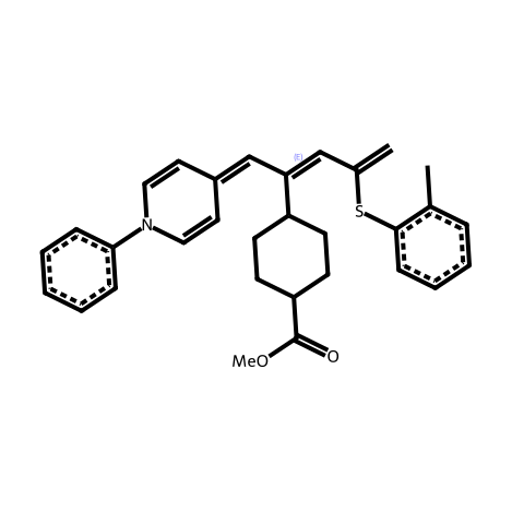 C=C(/C=C(/C=C1C=CN(c2ccccc2)C=C1)C1CCC(C(=O)OC)CC1)Sc1ccccc1C